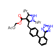 CCCN1NC(C(C)C)C(C(=O)OCOC(C)=O)=C1Cc1ccc(-c2ccccc2-c2nn[nH]n2)cc1